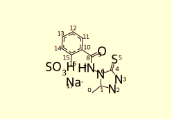 CC1N=NC(=S)N1NC(=O)c1ccccc1S(=O)(=O)O.[Na]